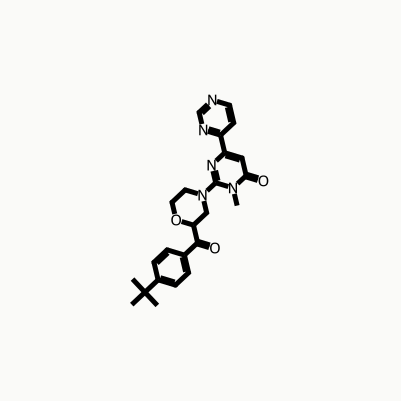 Cn1c(N2CCOC(C(=O)c3ccc(C(C)(C)C)cc3)C2)nc(-c2ccncn2)cc1=O